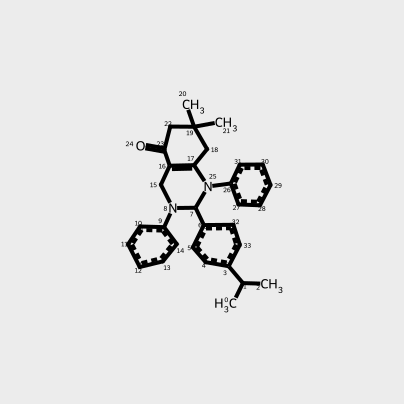 CC(C)c1ccc(C2N(c3ccccc3)CC3=C(CC(C)(C)CC3=O)N2c2ccccc2)cc1